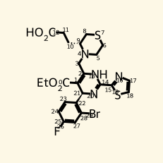 CCOC(=O)C1=C(CN2CCSC[C@H]2CCC(=O)O)NC(c2nccs2)=N[C@H]1c1ccc(F)cc1Br